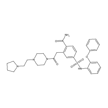 NC(=O)c1ccc(S(=O)(=O)Nc2ccccc2Oc2ccccc2)cc1CC(=O)N1CCN(CCN2CCCC2)CC1